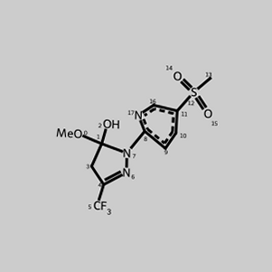 COC1(O)CC(C(F)(F)F)=NN1c1ccc(S(C)(=O)=O)cn1